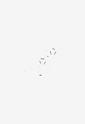 COCCCN(CCC(=O)OC)c1cc(NC(C)=O)c(/N=N/c2c(Cl)cc([N+](=O)[O-])cc2[N+](=O)[O-])cc1OC